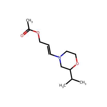 CC(=O)OCC=CN1CCOC(C(C)C)C1